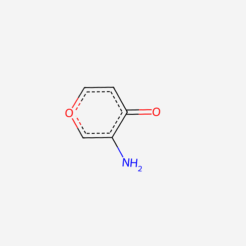 Nc1coccc1=O